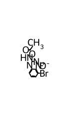 CCC(=O)ONc1nc2cccc(Br)c2[n+]([O-])n1